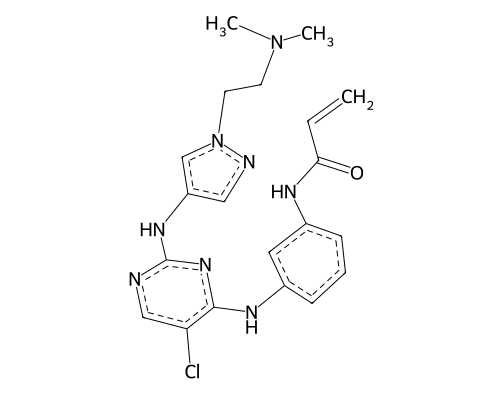 C=CC(=O)Nc1cccc(Nc2nc(Nc3cnn(CCN(C)C)c3)ncc2Cl)c1